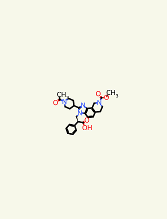 COC(=O)N1CCc2ccc3c(nc(C4CCN(C(C)=O)CC4)n3C[C@@H](C(=O)O)c3ccccc3)c2C1